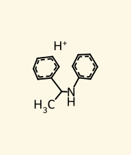 CC(Nc1ccccc1)c1ccccc1.[H+]